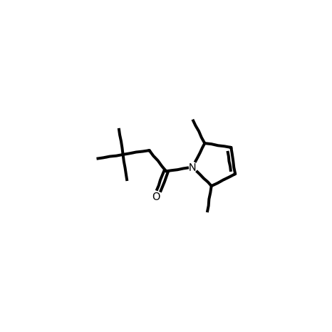 CC1C=CC(C)N1C(=O)CC(C)(C)C